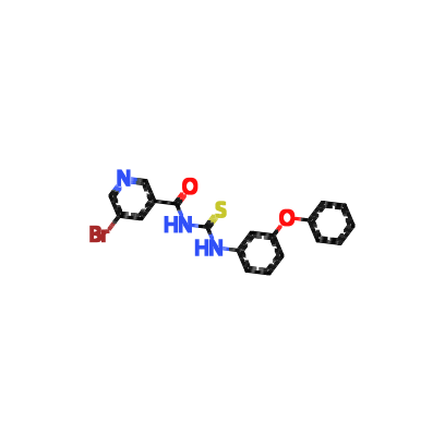 O=C(NC(=S)Nc1cccc(Oc2ccccc2)c1)c1cncc(Br)c1